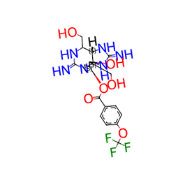 N=C1N[C@H]2C(CO)NC(=N)N3C[C@H](OC(=O)c4ccc(OC(F)(F)F)cc4)C(O)(CO)[C@]23N1